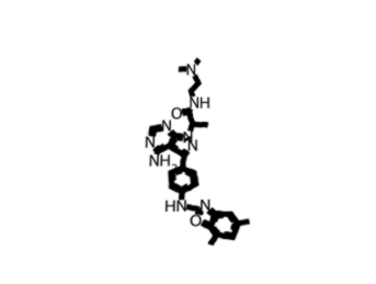 Cc1cc(C)c2oc(Nc3ccc(-c4nn(C(C)C(=O)NCCN(C)C)c5ncnc(N)c45)cc3)nc2c1